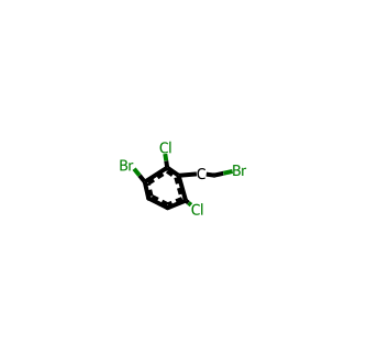 Clc1ccc(Br)c(Cl)c1CCBr